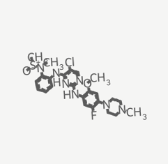 COc1cc(N2CCN(C)CC2)c(F)cc1Nc1ncc(Cl)c(Nc2ccccc2N(C)[S+](C)[O-])n1